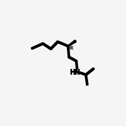 CCCC[C@@H](C)CCNC(C)C